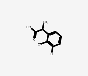 CC(C(=O)O)c1cccc(Cl)c1Cl